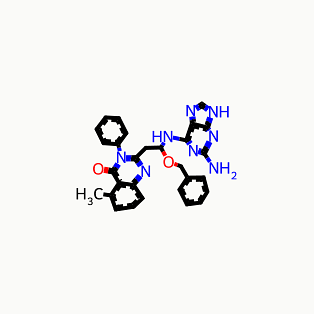 Cc1cccc2nc(CC(Nc3nc(N)nc4[nH]cnc34)OCc3ccccc3)n(-c3ccccc3)c(=O)c12